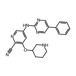 N#Cc1ncc(Nc2ncc(-c3ccccc3)cn2)cc1OC1CCCNC1